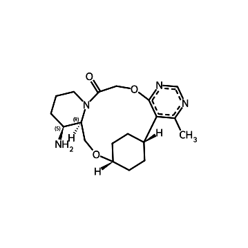 Cc1ncnc2c1[C@H]1CC[C@H](CC1)OC[C@H]1[C@@H](N)CCCN1C(=O)CO2